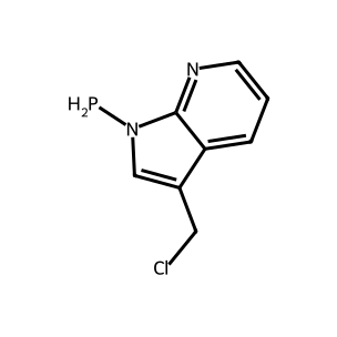 Pn1cc(CCl)c2cccnc21